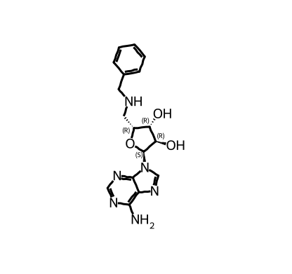 Nc1ncnc2c1ncn2[C@H]1O[C@H](CNCc2ccccc2)[C@H](O)[C@H]1O